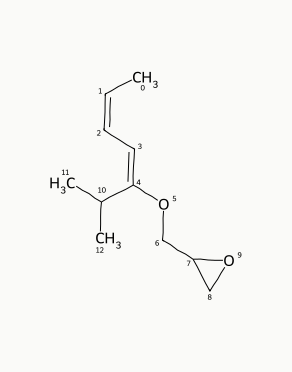 C/C=C\C=C(\OCC1CO1)C(C)C